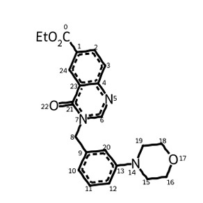 CCOC(=O)c1ccc2ncn(Cc3cccc(N4CCOCC4)c3)c(=O)c2c1